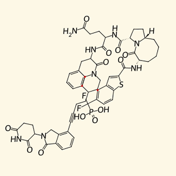 NC(=O)CCC(NC(=O)[C@@H]1CC[C@@H]2CCCC[C@H](NC(=O)c3cc4cc(C(F)(F)P(=O)(O)O)ccc4s3)C(=O)N21)C(=O)NC(Cc1ccccc1)C(=O)N1CCC(CCC#Cc2cccc3c2CN(C2CCC(=O)NC2=O)C3=O)CC1